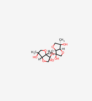 C[C@]12OC[C@@](C)(O)[C@H]1OC[C@]2(O)O[C@@]1(O)CO[C@H]2[C@]1(C)OC[C@@]2(C)O